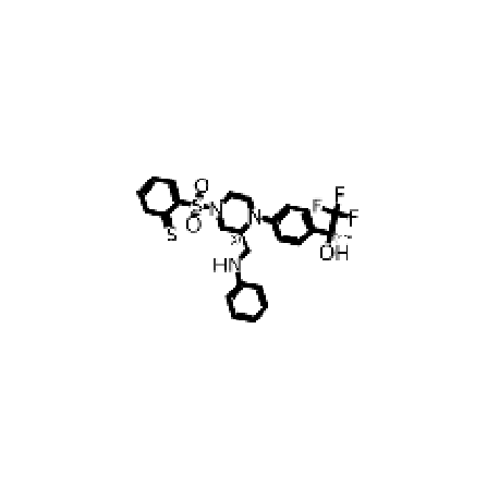 C[C@](O)(c1ccc(N2CCN(S(=O)(=O)C3=CC=CCC3=S)C[C@@H]2CNc2ccccc2)cc1)C(F)(F)F